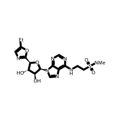 CCc1cnc([C@H]2O[C@@H](n3cnc4c(NCCS(=O)(=O)NC)ncnc43)[C@@H](O)[C@@H]2O)o1